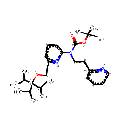 CC(C)[Si](OCc1cccc(N(CCc2ccccn2)C(=O)OC(C)(C)C)n1)(C(C)C)C(C)C